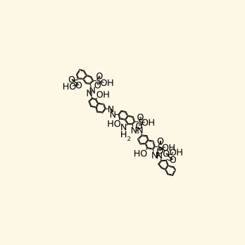 Nc1c(N=Nc2ccc3c(O)c(N=Nc4ccc5ccccc5c4S(=O)(=O)O)c(S(=O)(=O)O)cc3c2)c(S(=O)(=O)O)cc2ccc(N=Nc3ccc4ccc(N=Nc5cc6c(S(=O)(=O)O)cccc6cc5S(=O)(=O)O)c(O)c4c3)c(O)c12